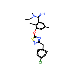 CCN(C)C(=N)c1cc(C)cc(Oc2nc(Cc3ccc(Cl)cc3)ns2)c1C